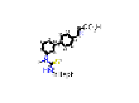 CCCCCCCNC(=S)N(C)c1cccc(-c2ccc(/C=C/C(=O)O)cc2)c1